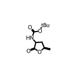 C=C1CC(NC(=O)OC(C)(C)C)C(=O)O1